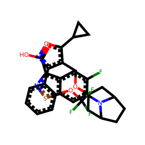 O=C(O)c1nsc2cc(N3C4CCC3CC(OCc3c(-c5ccccc5OC(F)(F)F)noc3C3CC3)C4)c(F)cc12